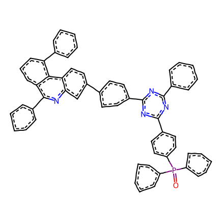 O=P(c1ccccc1)(c1ccccc1)c1ccc(-c2nc(-c3ccccc3)nc(-c3ccc(-c4ccc5c(c4)nc(-c4ccccc4)c4cccc(-c6ccccc6)c45)cc3)n2)cc1